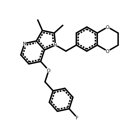 Cc1c(C)n(Cc2ccc3c(c2)OCCO3)c2c(OCc3ccc(F)cc3)ccnc12